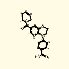 O=C(O)c1ccc(N2CCOc3cc(C(=O)N4CC=CCC4)cnc32)cc1